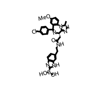 COc1ccc2c(c1)C(c1ccc(Cl)cc1)=N[C@@H](CC(=O)NCCc1ccc3nc(B(O)O)[nH]c3c1)c1nnc(C)n1-2